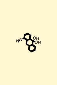 N#[N+]c1cccc2c1Cc1ccccc1C2(O)O